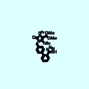 CCCCc1c(C(OC)OC)n(CCC)c(=O)n1Cc1ccc(-c2ccccc2-c2nnn[nH]2)cc1